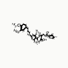 Cc1ccc(CCCNc2nc(C)c(C(=O)NC(CNC(=O)c3cccs3)C(=O)O)c(C)n2)cc1O